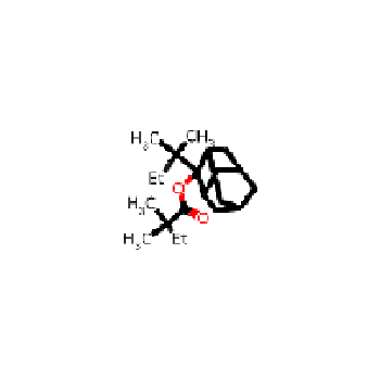 CCC(C)(C)C(=O)OC1(C(C)(C)CC)C2CC3CC(C2)CC1C3